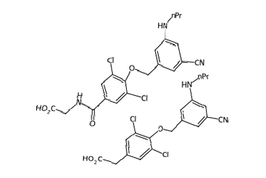 CCCNc1cc(C#N)cc(COc2c(Cl)cc(C(=O)NCC(=O)O)cc2Cl)c1.CCCNc1cc(C#N)cc(COc2c(Cl)cc(CC(=O)O)cc2Cl)c1